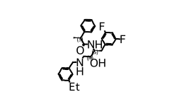 CCc1cccc(CNC[C@@H](O)[C@H](Cc2cc(F)cc(F)c2)NC(=O)[C@@H](C)c2ccccc2)c1